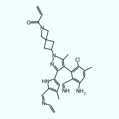 C=C/N=C\c1[nH]c(-c2nn(C3CC4(C3)CN(C(=O)C=C)C4)c(C)c2-c2c(Cl)c(C)cc(N)c2C=N)cc1C